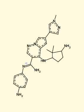 Cn1cc(-c2cc3c(NC4CCC(N)C4(C)C)c(/C(N)=N/c4ccc(N)cc4)cnn3c2)cn1